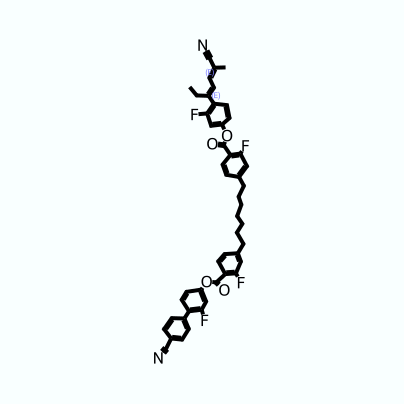 CC/C(=C\C=C(/C)C#N)c1ccc(OC(=O)c2ccc(CCCCCCCc3ccc(C(=O)Oc4ccc(-c5ccc(C#N)cc5)c(F)c4)c(F)c3)cc2F)cc1F